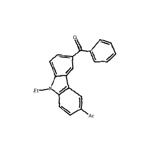 CCn1c2ccc(C(C)=O)cc2c2cc(C(=O)c3ccccc3)ccc21